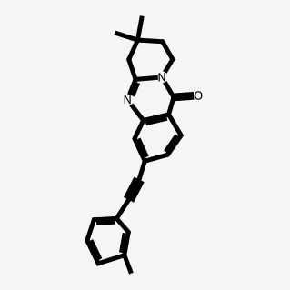 Cc1cccc(C#Cc2ccc3c(=O)n4c(nc3c2)CC(C)(C)CC4)c1